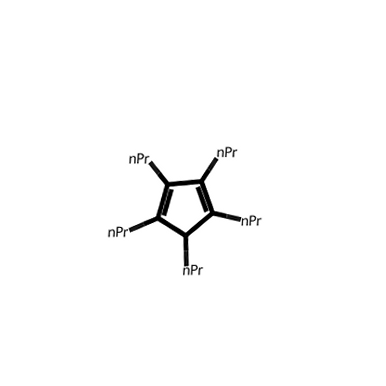 CCCC1=C(CCC)C(CCC)C(CCC)=C1CCC